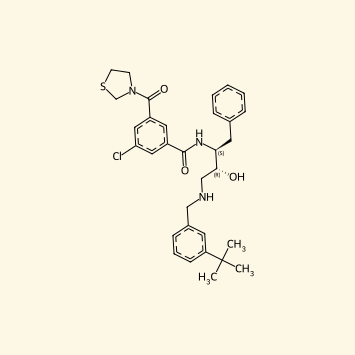 CC(C)(C)c1cccc(CNC[C@@H](O)[C@H](Cc2ccccc2)NC(=O)c2cc(Cl)cc(C(=O)N3CCSC3)c2)c1